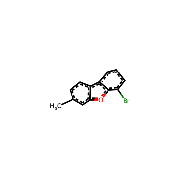 Cc1ccc2c(c1)oc1c(Br)cccc12